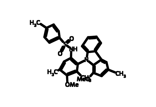 COc1c(C)cc(NS(=O)(=O)c2ccc(C)cc2)c(-n2c3ccccc3c3cc(C)cc(OC)c32)c1C